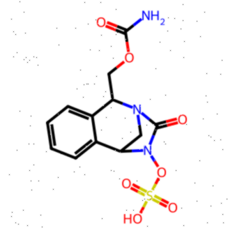 NC(=O)OCC1c2ccccc2C2CN1C(=O)N2OS(=O)(=O)O